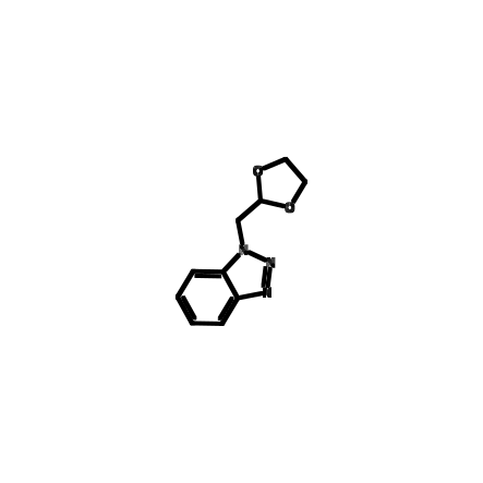 c1ccc2c(c1)nnn2CC1OCCO1